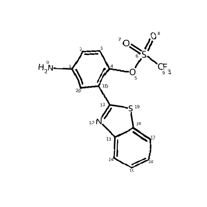 Nc1ccc(OS(=O)(=O)C(F)(F)F)c(-c2nc3ccccc3s2)c1